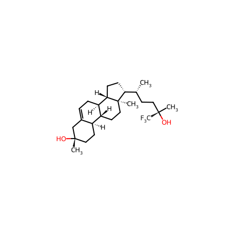 C[C@H](CC[C@](C)(O)C(F)(F)F)[C@H]1CC[C@H]2[C@@H]3CC=C4C[C@@](C)(O)CC[C@@H]4[C@H]3CC[C@]12C